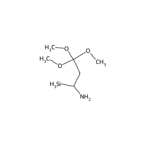 COC(CC(N)[SiH3])(OC)OC